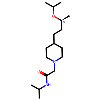 CC(C)NC(=O)CN1CCC(CC[C@H](C)OC(C)C)CC1